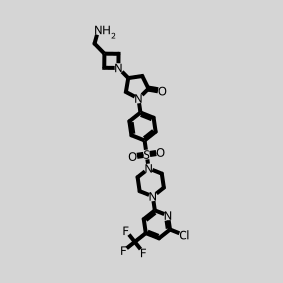 NCC1CN(C2CC(=O)N(c3ccc(S(=O)(=O)N4CCN(c5cc(C(F)(F)F)cc(Cl)n5)CC4)cc3)C2)C1